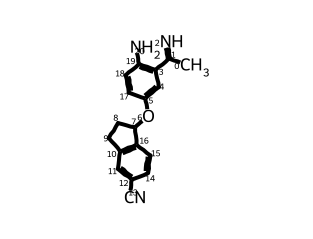 CC(=N)c1cc(OC2CCc3cc(C#N)ccc32)ccc1N